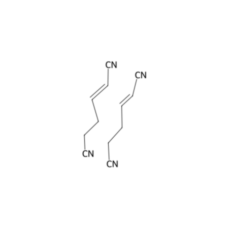 N#CC=CCCC#N.N#CC=CCCC#N